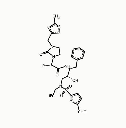 Cc1nc(CN2CCN([C@H](C(=O)N[C@@H](Cc3ccccc3)[C@H](O)CN(CC(C)C)S(=O)(=O)c3ccc(C=O)o3)C(C)C)C2=O)cs1